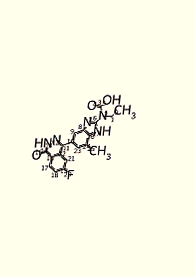 CCN(C(=O)O)c1nc2cc(-c3n[nH]c(=O)c4ccc(F)cc34)cc(C)c2[nH]1